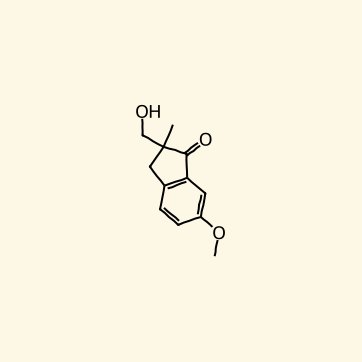 COc1ccc2c(c1)C(=O)C(C)(CO)C2